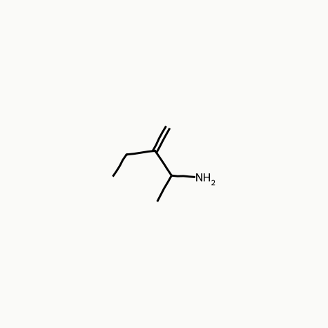 C=C(CC)C(C)N